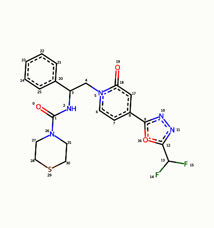 O=C(NC(Cn1ccc(-c2nnc(C(F)F)o2)cc1=O)c1ccccc1)N1CCSCC1